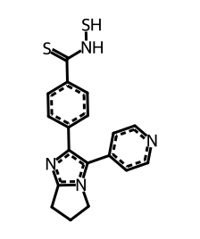 S=C(NS)c1ccc(-c2nc3n(c2-c2ccncc2)CCC3)cc1